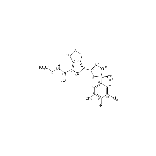 O=C(O)CNC(=O)c1sc(C2=NOC(c3cc(Cl)c(F)c(Cl)c3)(C(F)(F)F)C2)c2c1CCC2